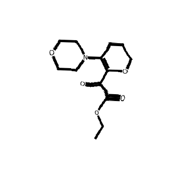 CCOC(=O)C(=O)C1=C(N2CCOCC2)CCCO1